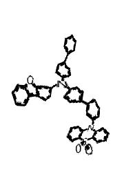 O=S1(=O)c2ccccc2N(c2cccc(-c3ccc(N(c4ccc(-c5ccccc5)cc4)c4ccc5c(c4)oc4ccccc45)cc3)c2)c2ccccc21